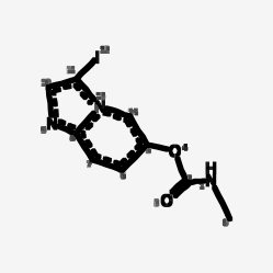 CNC(=O)Oc1ccc2ncc(I)n2c1